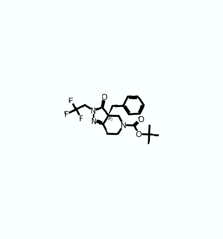 CC(C)(C)OC(=O)N1CCC2=NN(CC(F)(F)F)C(=O)[C@]2(Cc2ccccc2)C1